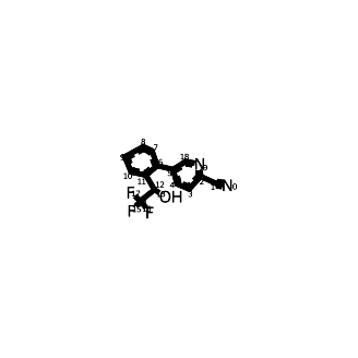 N#Cc1ccc(-c2ccccc2C(O)C(F)(F)F)cn1